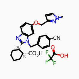 Cn1ccc(COc2ccc3nc([C@H]4CCCC[C@H]4C(=O)O)n(Cc4ccc(C#N)cc4)c3c2)n1.O=C(O)C(F)(F)F